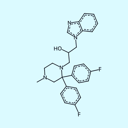 CN1CCN(CC(O)Cn2cnc3ccccc32)C(c2ccc(F)cc2)(c2ccc(F)cc2)C1